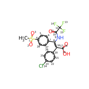 CS(=O)(=O)c1ccc(C(NC(=O)C(F)(F)F)=C(C(=O)O)c2ccc(Cl)cc2)cc1